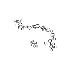 Cc1ccc(C(=O)N2CCC(OC3CCN(c4ncc(-c5ccc6cn(C7CCC(CNC(=O)c8cc(F)c(O)c(F)c8F)CC7)nc6c5)cn4)CC3)CC2)cc1N1CCC(=O)NC1=O.O=C(O)C(F)(F)F